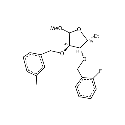 CC[C@H]1OC(OC)[C@H](OCc2cccc(C)c2)[C@H]1OCc1ccccc1F